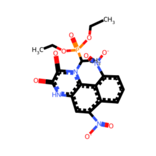 CCOP(=O)(OCC)C(C)n1c(=O)c(=O)[nH]c2cc([N+](=O)[O-])c3cccc([N+](=O)[O-])c3c21